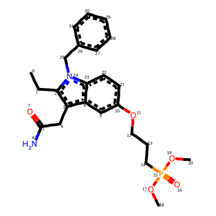 CCc1c(CC(N)=O)c2cc(OCCCP(=O)(OC)OC)ccc2n1Cc1ccccc1